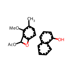 COc1c(C)ccc2c1C(OC(C)=O)O2.Oc1cccc2ccccc12